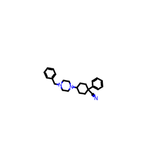 N#CC1(c2ccccc2)CCC(N2CCN(Cc3ccccc3)CC2)CC1